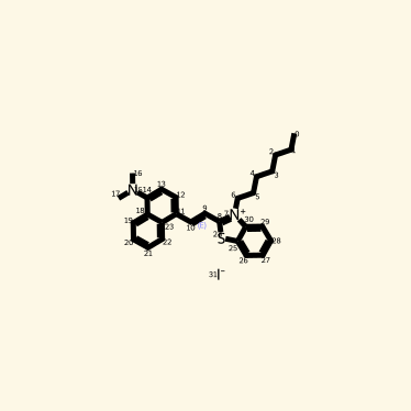 CCCCCCC[n+]1c(/C=C/c2ccc(N(C)C)c3ccccc23)sc2ccccc21.[I-]